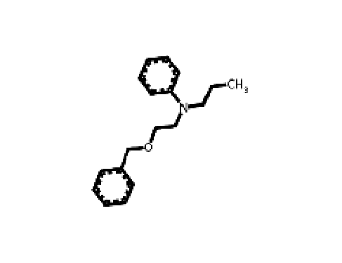 CCCN(CCOCc1ccccc1)c1ccccc1